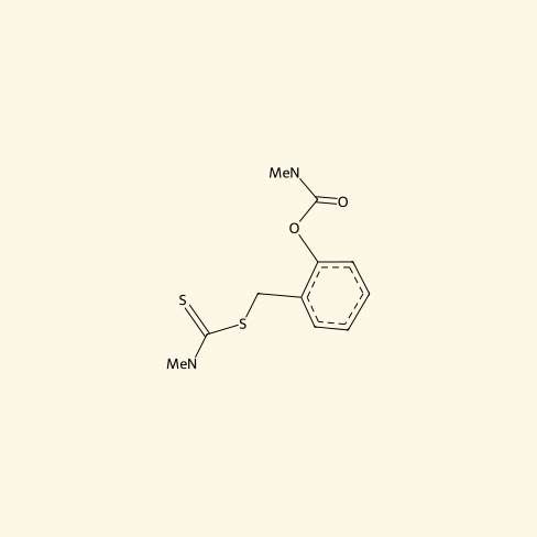 CNC(=O)Oc1ccccc1CSC(=S)NC